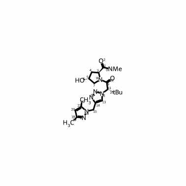 CNC(=O)[C@@H]1C[C@@H](O)CN1C(=O)[C@@H](n1cc(Cn2nc(C)cc2C)nn1)C(C)(C)C